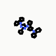 C1=CC2c3ccccc3N(c3ccc4c(c3)c3ccccc3n4-c3cc(-n4c5ccccc5c5ccccc54)nc(-c4ccccc4)n3)C2C=C1